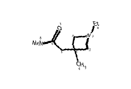 CCN1CC(C)(CC(=O)NC)C1